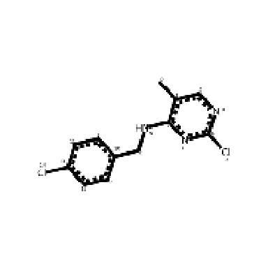 Cc1cnc(Cl)nc1NCc1ccc(Cl)cc1